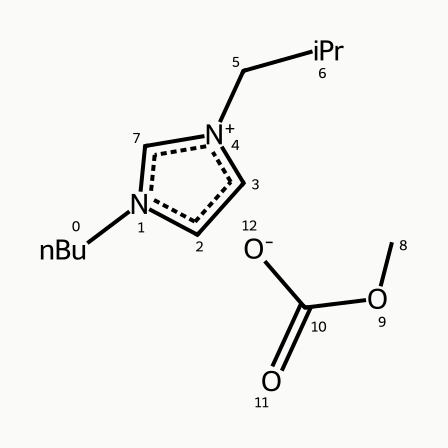 CCCCn1cc[n+](CC(C)C)c1.COC(=O)[O-]